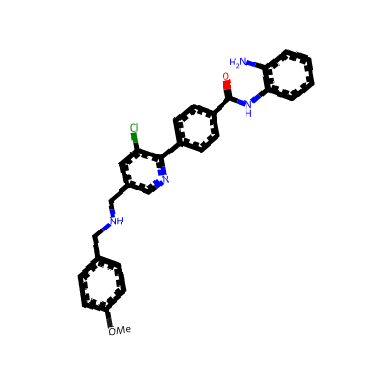 COc1ccc(CNCc2cnc(-c3ccc(C(=O)Nc4ccccc4N)cc3)c(Cl)c2)cc1